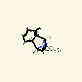 CCOC(=O)N1[C@@]2(C)C=C[C@]1(C)c1c(C)cccc12